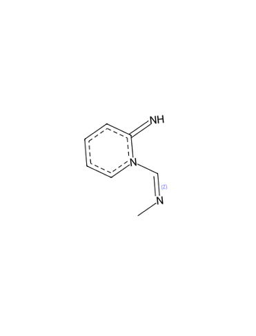 C/N=C\n1ccccc1=N